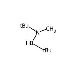 CN(BC(C)(C)C)C(C)(C)C